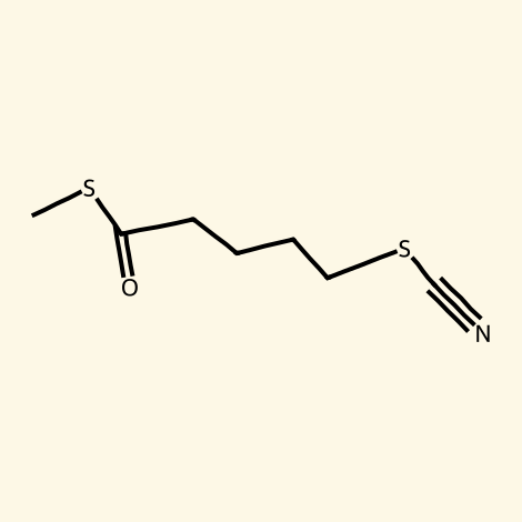 CSC(=O)CCCCSC#N